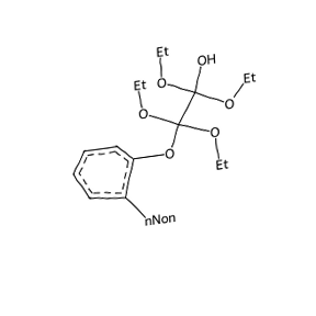 CCCCCCCCCc1ccccc1OC(OCC)(OCC)C(O)(OCC)OCC